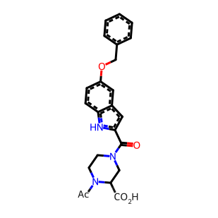 CC(=O)N1CCN(C(=O)c2cc3cc(OCc4ccccc4)ccc3[nH]2)CC1C(=O)O